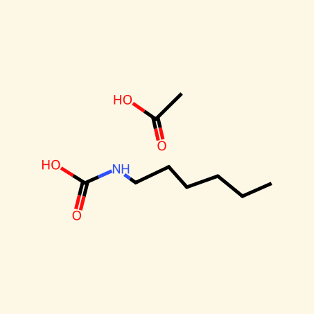 CC(=O)O.CCCCCCNC(=O)O